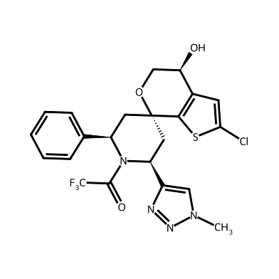 Cn1cc([C@@H]2C[C@]3(C[C@H](c4ccccc4)N2C(=O)C(F)(F)F)OC[C@@H](O)c2cc(Cl)sc23)nn1